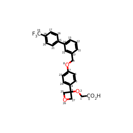 O=C(O)COC1(c2ccc(OCc3cccc(-c4ccc(C(F)(F)F)cc4)c3)cc2)COC1